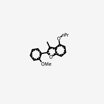 [CH2]CCOc1cccc2oc(-c3ccccc3OC)c(C)c12